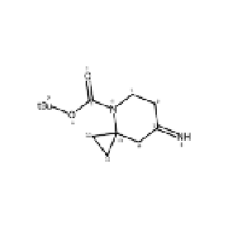 CC(C)(C)OC(=O)N1CCC(=N)CC12CC2